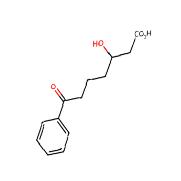 O=C(O)CC(O)CCCC(=O)c1ccccc1